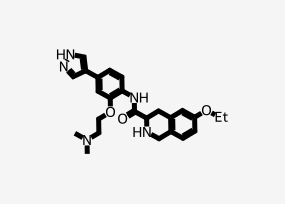 CCOc1ccc2c(c1)CC(C(=O)Nc1ccc(-c3cn[nH]c3)cc1OCCN(C)C)NC2